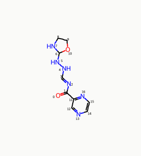 O=C(N=CNNC1NCCO1)c1cnccn1